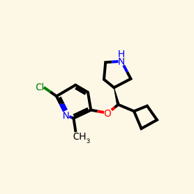 Cc1nc(Cl)ccc1OC(C1CCC1)[C@H]1CCNC1